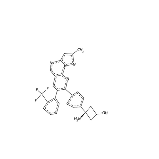 Cc1cc2ncc3cc(-c4ccccc4C(F)(F)F)c(-c4ccc([C@]5(N)C[C@H](O)C5)cc4)nc3n2n1